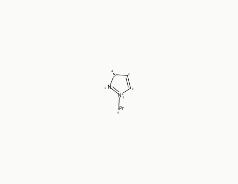 CC(C)[n+]1ccsn1